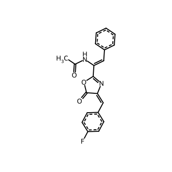 CC(=O)NC(=Cc1ccccc1)C1=NC(=Cc2ccc(F)cc2)C(=O)O1